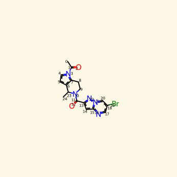 CC(=O)n1ccc2c1CCN(C(=O)c1cc3ncc(Br)cn3n1)C2C